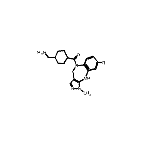 Cn1ncc2c1Nc1cc(Cl)ccc1N(C(=O)C1CCC(CN)CC1)C2